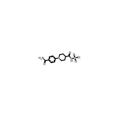 CCS(=O)(=O)NC(=O)C1CCN(c2ccc(C(N)=O)cc2)CC1